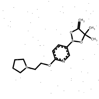 C=C1OB(c2ccc(OCCN3CCCC3)nc2)OC1(C)C